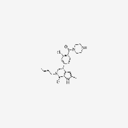 CC=CCn1cc(-c2ccc(C(=O)N3CCNCC3)c(Cl)c2)c2cc(C)[nH]c2c1=O